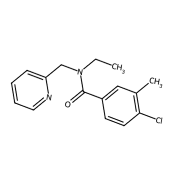 CCN(Cc1ccccn1)C(=O)c1ccc(Cl)c(C)c1